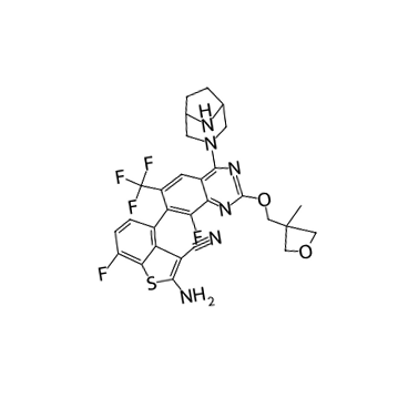 CC1(COc2nc(N3CC4CCC(C3)N4)c3cc(C(F)(F)F)c(-c4ccc(F)c5sc(N)c(C#N)c45)c(F)c3n2)COC1